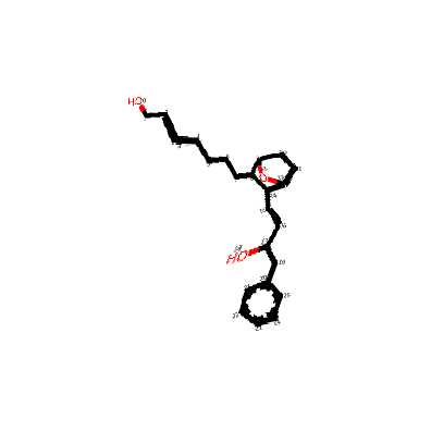 OC/C=C/CCCCC1C2CCC(O2)C1/C=C/C(O)Cc1ccccc1